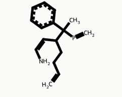 C=CCCC(/C=C\N)C(C)(P=C)c1ccccc1